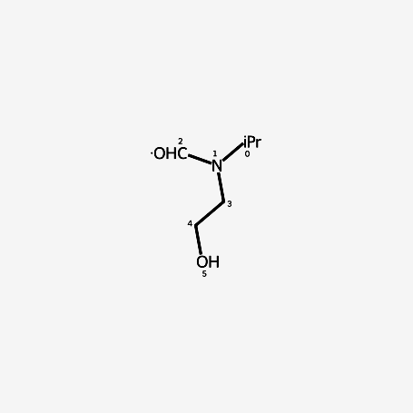 CC(C)N([C]=O)CCO